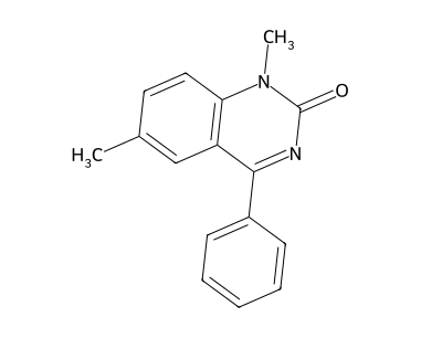 Cc1ccc2c(c1)c(-c1ccccc1)nc(=O)n2C